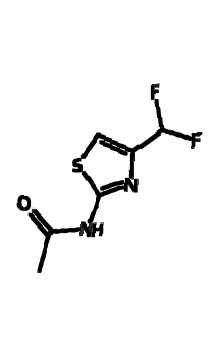 CC(=O)Nc1nc(C(F)F)cs1